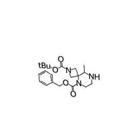 CC1NCCN(C(=O)OCc2ccccc2)C12CN(C(=O)OC(C)(C)C)C2